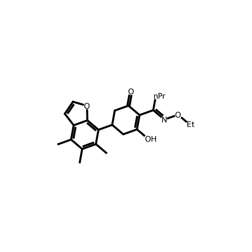 CCC/C(=N\OCC)C1=C(O)CC(c2c(C)c(C)c(C)c3ccoc23)CC1=O